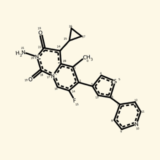 Cc1c(-c2csc(-c3ccncc3)c2)c(F)cn2c(=O)n(N)c(=O)c(C3CC3)c12